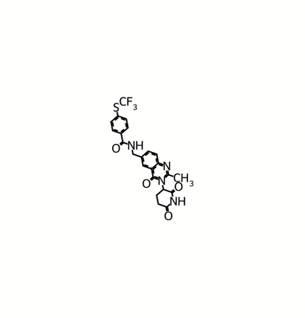 Cc1nc2ccc(CNC(=O)c3ccc(SC(F)(F)F)cc3)cc2c(=O)n1C1CCC(=O)NC1=O